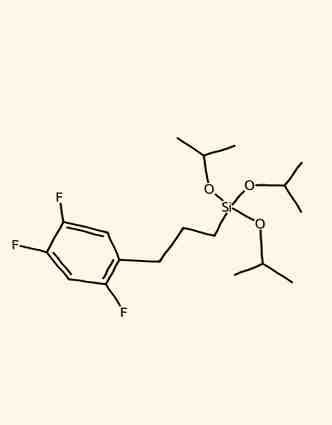 CC(C)O[Si](CCCc1cc(F)c(F)cc1F)(OC(C)C)OC(C)C